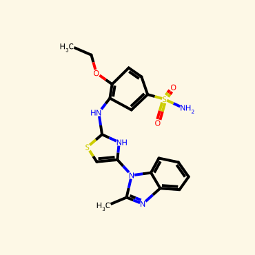 CCOc1ccc(S(N)(=O)=O)cc1NC1NC(n2c(C)nc3ccccc32)=CS1